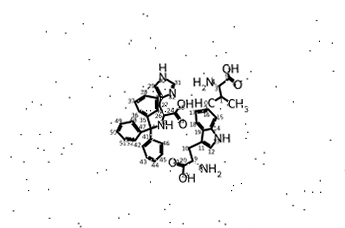 CC(C)[C@H](N)C(=O)O.N[C@@H](Cc1c[nH]c2ccccc12)C(=O)O.O=C(O)[C@H](Cc1c[nH]cn1)NC(c1ccccc1)(c1ccccc1)c1ccccc1